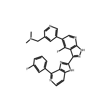 CN(C)Cc1cncc(-c2cnc3[nH]nc(-c4nc5c(-c6cccc(F)c6)nccc5[nH]4)c3c2F)c1